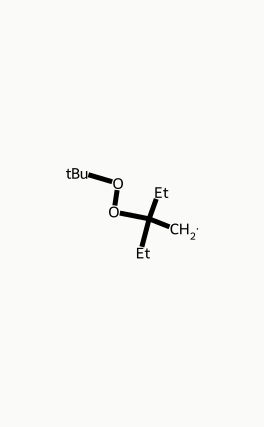 [CH2]C(CC)(CC)OOC(C)(C)C